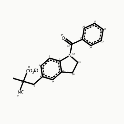 [C-]#[N+]C(C)(Cc1ccc2c(c1)CCN2C(=O)c1ccccc1)C(=O)OCC